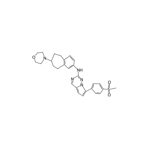 CS(=O)(=O)c1ccc(-c2ccc3cnc(Nc4ccc5c(c4)CCC(N4CCOCC4)CC5)nn23)cc1